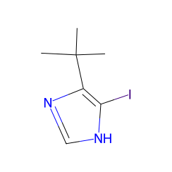 CC(C)(C)c1nc[nH]c1I